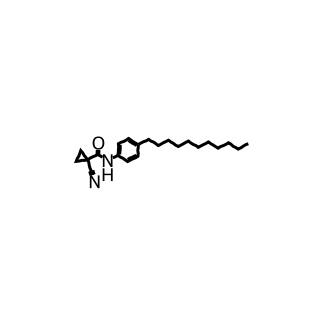 CCCCCCCCCCCc1ccc(NC(=O)C2(C#N)CC2)cc1